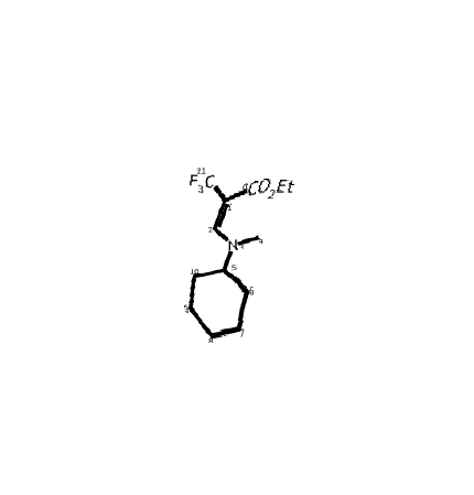 CCOC(=O)/C(=C\N(C)C1CCCCC1)C(F)(F)F